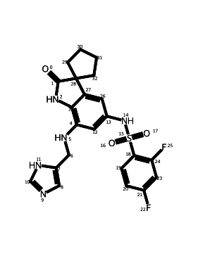 O=C1Nc2c(NCc3cnc[nH]3)cc(NS(=O)(=O)c3ccc(F)cc3F)cc2C12CCCC2